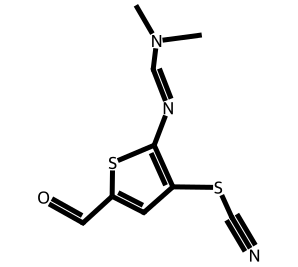 CN(C)C=Nc1sc(C=O)cc1SC#N